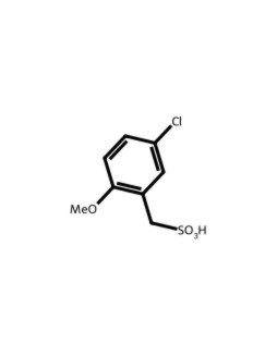 COc1ccc(Cl)cc1CS(=O)(=O)O